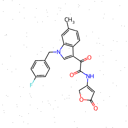 Cc1ccc2c(C(=O)C(=O)NC3=CC(=O)OC3)cn(Cc3ccc(F)cc3)c2c1